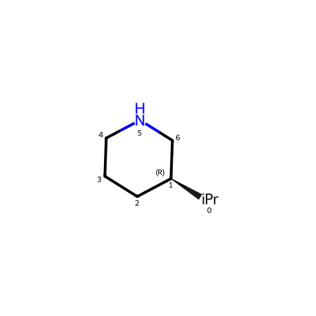 CC(C)[C@H]1CCCNC1